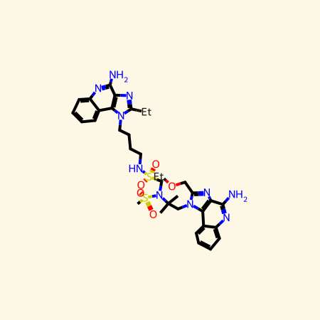 CCOCc1nc2c(N)nc3ccccc3c2n1CC(C)(C)N(CS(=O)(=O)NCCCCn1c(CC)nc2c(N)nc3ccccc3c21)S(C)(=O)=O